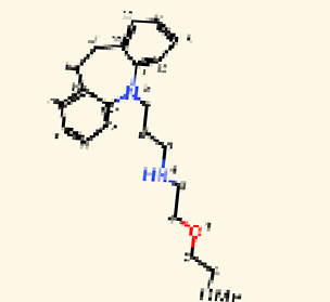 COCCOCCNCCCN1c2ccccc2CCc2ccccc21